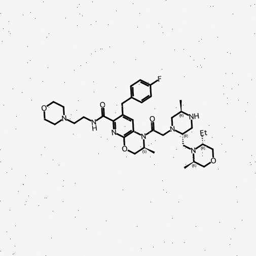 CC[C@@H]1COC[C@@H](C)N1C[C@H]1CN[C@H](C)CN1CC(=O)N1c2cc(Cc3ccc(F)cc3)c(C(=O)NCCN3CCOCC3)nc2OC[C@@H]1C